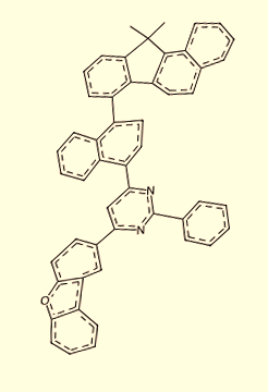 CC1(C)c2cccc(-c3ccc(-c4cc(-c5ccc6oc7ccccc7c6c5)nc(-c5ccccc5)n4)c4ccccc34)c2-c2ccc3ccccc3c21